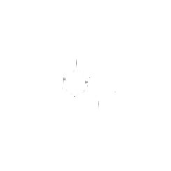 Cc1nc(B(O)O)ccc1F